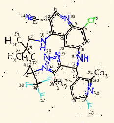 Bc1c([C@@H](Nc2cc(Cl)c3ncc(C#N)c(NCC(C)(C)C)c3c2)c2ccc(F)nc2C)nnn1C1(C(F)(F)F)CC1